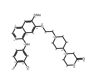 COc1cc2ncnc(Nc3ccc(F)c(Cl)c3)c2cc1OCCN1CCC(N2CCOC(=O)C2)CC1